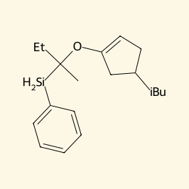 CCC(C)C1CC=C(OC(C)(CC)[SiH2]c2ccccc2)C1